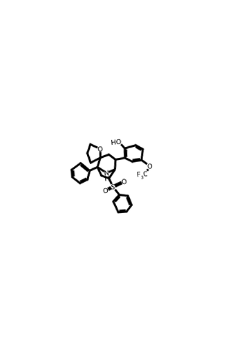 O=S(=O)(c1ccccc1)C1CC2(c3ccccc3)NC1C(c1cc(OC(F)(F)F)ccc1O)CC21CCCO1